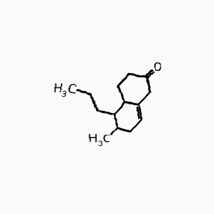 CCCC1C(C)CC=C2CC(=O)CCC21